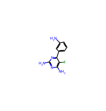 Nc1cccc(-c2nc(N)nc(N)c2F)c1